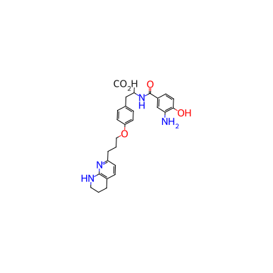 Nc1cc(C(=O)NC(Cc2ccc(OCCCc3ccc4c(n3)NCCC4)cc2)C(=O)O)ccc1O